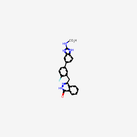 O=C(O)Nc1nc2cc(-c3ccc(F)c(Cc4n[nH]c(=O)c5ccccc45)c3)ccc2[nH]1